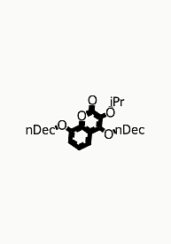 CCCCCCCCCCOc1c(OC(C)C)c(=O)oc2c(OCCCCCCCCCC)cccc12